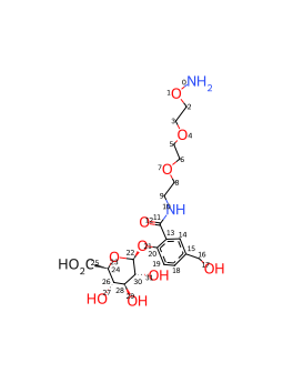 NOCCOCCOCCNC(=O)c1cc(CO)ccc1O[C@@H]1O[C@H](C(=O)O)[C@@H](O)[C@H](O)[C@H]1O